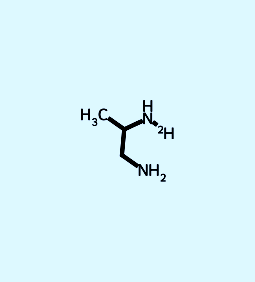 [2H]NC(C)CN